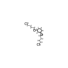 ClCCCCOc1cccc(OCCCCCl)c1